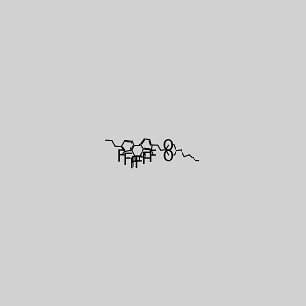 CCCCCC1COC(CCc2ccc3c(c2F)C(F)(F)C(F)(F)c2c-3ccc(CCC)c2F)OC1